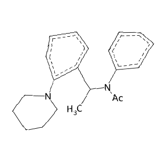 CC(=O)N(c1ccccc1)C(C)c1ccccc1N1CCCCC1